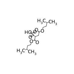 CC(C)CCOC(=O)CC(C(=O)OCCC(C)C)S(=O)(=O)O